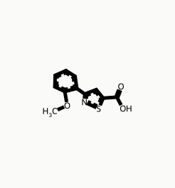 COc1ccccc1-c1cc(C(=O)O)sn1